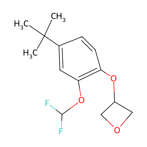 CC(C)(C)c1ccc(OC2COC2)c(OC(F)F)c1